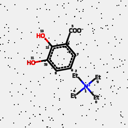 CC[N+](CC)(CC)CC.O=C([O-])c1cccc(O)c1O